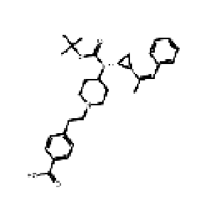 CC(=Cc1ccccc1)[C@@H]1C[C@H]1N(C(=O)OC(C)(C)C)C1CCN(CCc2ccc(C(=O)O)cc2)CC1